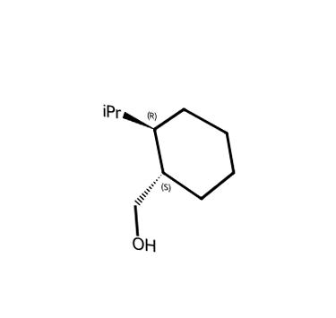 CC(C)[C@H]1CCCC[C@@H]1CO